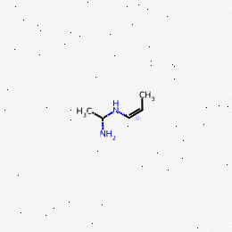 C/C=C\NC(C)N